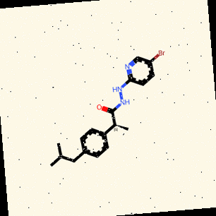 CC(C)Cc1ccc([C@H](C)C(=O)NNc2ccc(Br)cn2)cc1